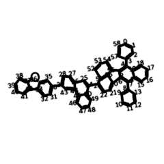 c1ccc(-c2c3c(c(-c4ccccc4)c4ccccc24)-c2ccc(-c4cc5ccc(-c6ccc7c(c6)oc6ccccc67)cc5c5ccccc45)c4cccc-3c24)cc1